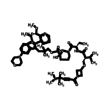 CC[C@H](NC(=O)[C@@H](COC1CN(C(=O)C#CC(C)(C)N(C)C)C1)C(C)C)C(=O)N1CCCC(O)(C(=O)OCC(C)(C)Cc2c(-c3cccnc3[C@H](C)OC)n(CC)c3ccc(N4CCOCC4)cc23)N1